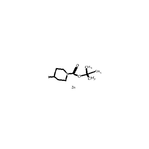 CC(C)(C)OC(=O)N1CCC(I)CC1.[Zn]